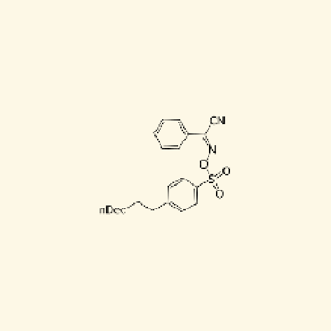 CCCCCCCCCCCCc1ccc(S(=O)(=O)ON=C(C#N)c2ccccc2)cc1